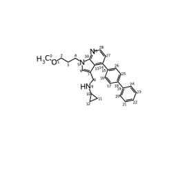 COCCCn1cc(CNC2CC2)c2c(-c3ccc(-c4ccccc4)cc3)ccnc21